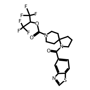 O=C(OC(C(F)(F)F)C(F)(F)F)N1CCC2(CCCN2C(=O)c2ccc3scnc3c2)CC1